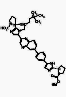 CC(C)(C)OC(=O)N1CCC[C@H]1c1ncc(-c2ccc(-c3ccc4nc(-c5cnc([C@@]6(C(C)(C)C)CCCN6C(=O)O)n5COCC[Si](C)(C)C)cnc4c3)cc2)[nH]1